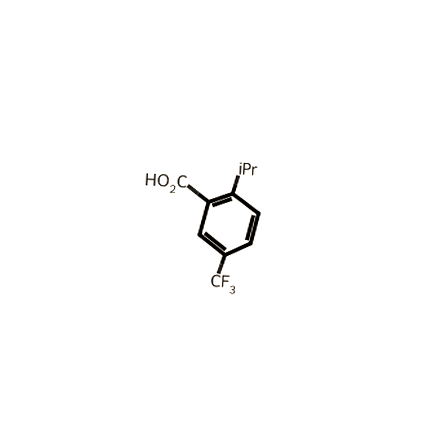 CC(C)c1ccc(C(F)(F)F)cc1C(=O)O